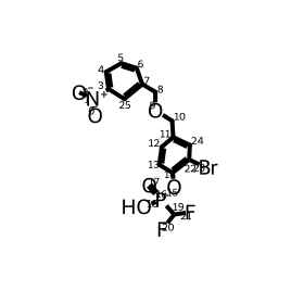 O=[N+]([O-])c1cccc(COCc2ccc(OP(=O)(O)C(F)F)c(Br)c2)c1